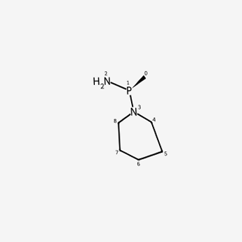 C[P@](N)N1CCCCC1